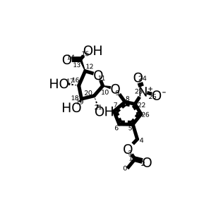 CC(=O)OCc1ccc(O[C@@H]2O[C@H](C(=O)O)[C@@H](O)[C@H](O)[C@H]2O)c([N+](=O)[O-])c1